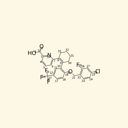 O=C(O)c1cccc(C2=C(c3cc(C(F)(F)F)ccc3OCc3ccc(Cl)cc3F)CCCC2)n1